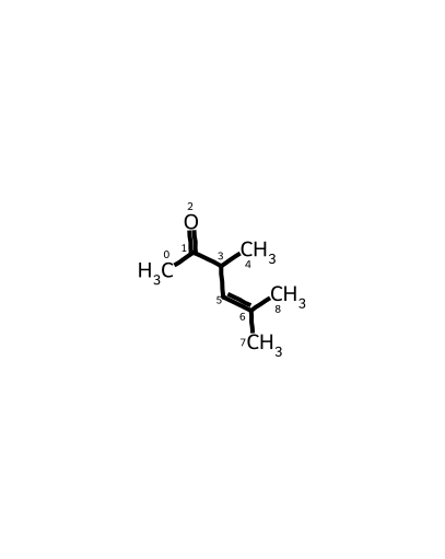 CC(=O)C(C)C=C(C)C